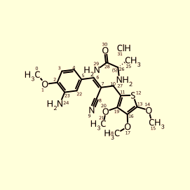 COc1ccc(C=C(C#N)Cc2sc(OC)c(OC)c2OC)cc1N.C[C@H](N)C(N)=O.Cl